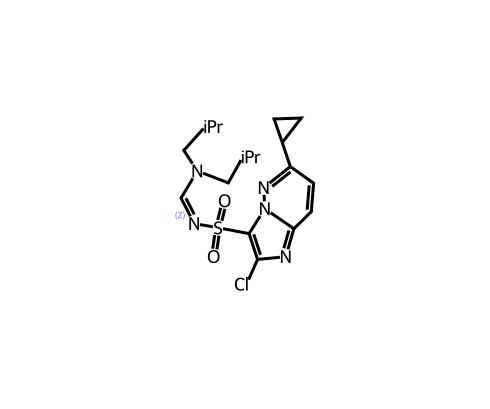 CC(C)CN(/C=N\S(=O)(=O)c1c(Cl)nc2ccc(C3CC3)nn12)CC(C)C